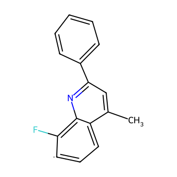 Cc1cc(-c2ccccc2)nc2c(F)[c]ccc12